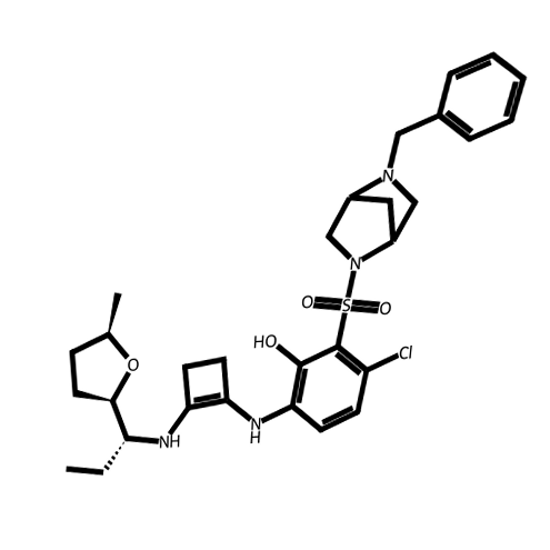 CC[C@@H](NC1=C(Nc2ccc(Cl)c(S(=O)(=O)N3CC4CC3CN4Cc3ccccc3)c2O)CC1)[C@H]1CC[C@@H](C)O1